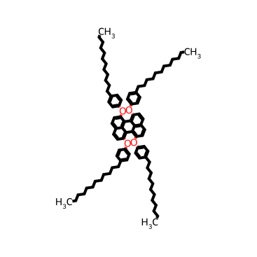 CCCCCCCCCCCCc1ccc(Oc2ccc3ccc(Oc4ccc(CCCCCCCCCCCC)cc4)c4c5c(Oc6ccc(CCCCCCCCCCCC)cc6)ccc6ccc(Oc7ccc(CCCCCCCCCCCC)cc7)c(c2c34)c65)cc1